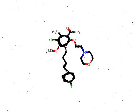 COc1c(Cl)c(C)c(C(C)=O)c(OCCN2CCOCC2)c1CCCCc1ccc(F)cc1